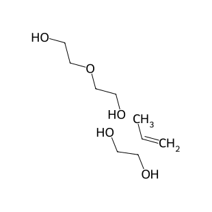 C=CC.OCCO.OCCOCCO